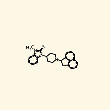 Cn1c(=S)n(C2CCN(C3Cc4cccc5cccc3c45)CC2)c2ccccc21